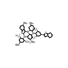 Cc1cc(-c2cc3ccccc3s2)cc(C)c1N1c2ccc(C(C)(C)C)cc2B2c3c1cc(C(C)(C)C)cc3N(c1c(C)cc(C(C)(C)C)cc1C)c1oc3ccc(C(C)(C)C)cc3c12